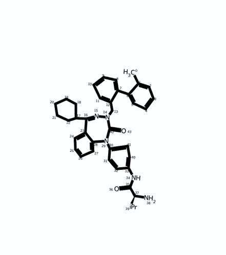 Cc1ccccc1-c1ccccc1CN1N=C(C2CCCCC2)c2ccccc2N(c2ccc(NC(=O)[C@@H](N)C(C)C)cc2)C1=O